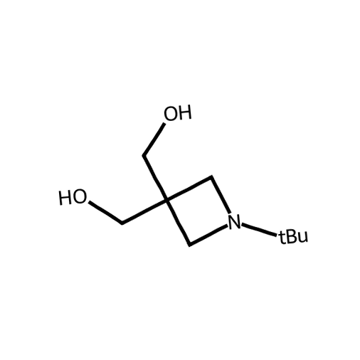 CC(C)(C)N1CC(CO)(CO)C1